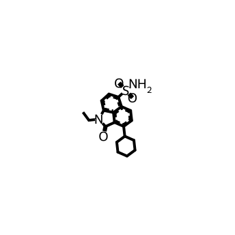 CCN1C(=O)c2c(C3CCCCC3)ccc3c(S(N)(=O)=O)ccc1c23